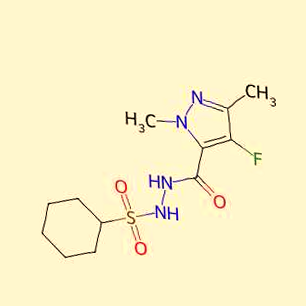 Cc1nn(C)c(C(=O)NNS(=O)(=O)C2CCCCC2)c1F